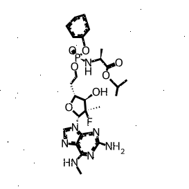 CNc1nc(N)nc2c1ncn2[C@@H]1O[C@H](CCO[P@@](=O)(N[C@@H](C)C(=O)OC(C)C)Oc2ccccc2)[C@@H](O)[C@@]1(C)F